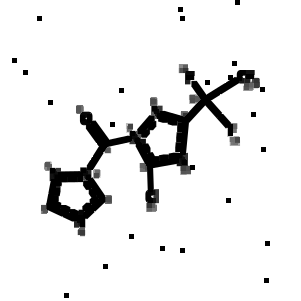 O=C(n1cncn1)n1nc(C(F)(F)C(F)(F)F)nc1Cl